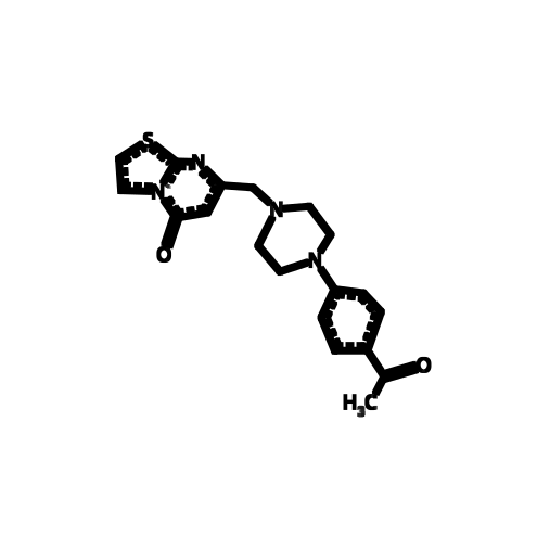 CC(=O)c1ccc(N2CCN(Cc3cc(=O)n4ccsc4n3)CC2)cc1